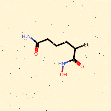 CCC(CCCC(N)=O)C(=O)NO